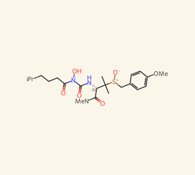 CNC(=O)[C@H](NC(=O)N(O)C(=O)CCCC(C)C)C(C)(C)[S+]([O-])Cc1ccc(OC)cc1